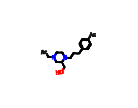 CC(=O)CN1CCN(CCCc2ccc(C(C)=O)cc2)[C@@H](CO)C1